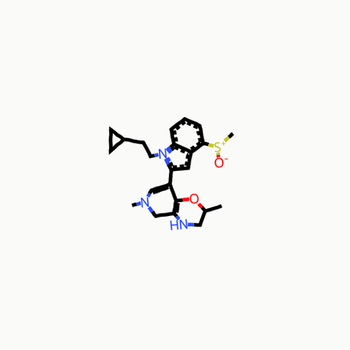 CC1CNC2=C(O1)C(c1cc3c([S+](C)[O-])cccc3n1CCC1CC1)=CN(C)C2